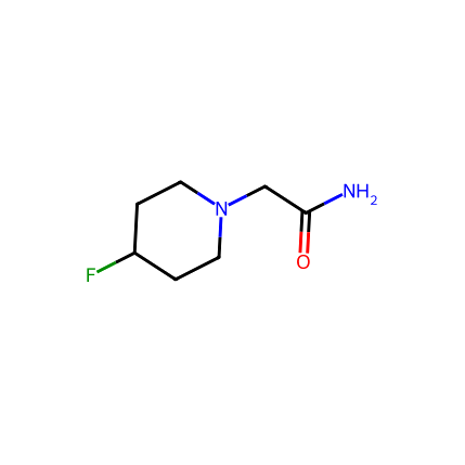 NC(=O)CN1CCC(F)CC1